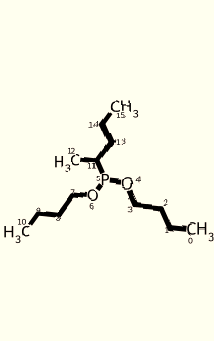 CCCCOP(OCCCC)C(C)CCC